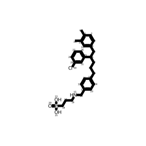 Cc1ccc(CC(CCCc2ccc(CNCCCP(=O)(O)O)cc2)c2cccc(Cl)c2)cc1C